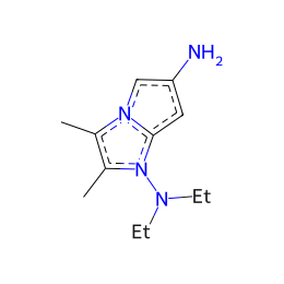 CCN(CC)n1c(C)c(C)n2cc(N)cc12